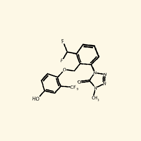 Cn1nnn(-c2cccc(C(F)F)c2COc2ccc(O)cc2C(F)(F)F)c1=O